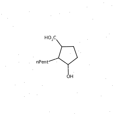 CCCCCC1C(O)CCC1C(=O)O